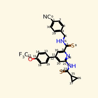 N#Cc1ccc(CNC(=S)c2cc(-c3ccc(OC(F)(F)F)cc3)cc(NC(=S)C3CC3)n2)cc1